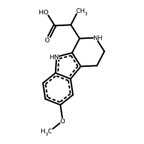 COc1ccc2[nH]c3c(c2c1)CCNC3C(C)C(=O)O